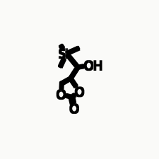 C[Si](C)(C)C(O)C1COC(=O)O1